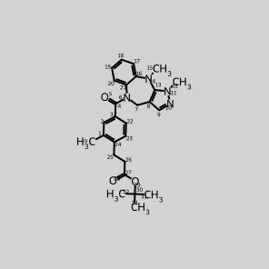 Cc1cc(C(=O)N2Cc3cnn(C)c3N(C)c3ccccc32)ccc1CCC(=O)OC(C)(C)C